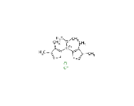 CC1=CC[C]([Hf+2]([C]2=C(C)C(C)=CC2)=[Si](C)C)=C1C.[Cl-].[Cl-]